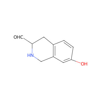 O=CC1Cc2ccc(O)cc2CN1